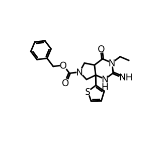 CCN1C(=N)NC2(c3cccs3)CN(C(=O)OCc3ccccc3)CC2C1=O